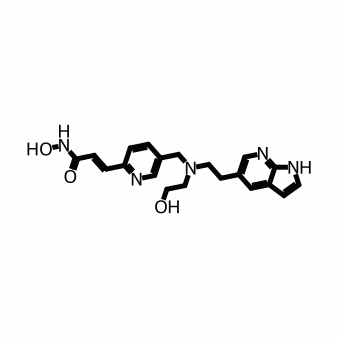 O=C(/C=C/c1ccc(CN(CCO)CCc2cnc3[nH]ccc3c2)cn1)NO